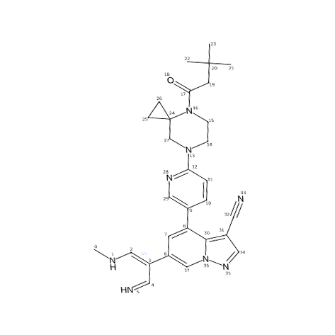 CN/C=C(\C=N)c1cc(-c2ccc(N3CCN(C(=O)CC(C)(C)C)C4(CC4)C3)nc2)c2c(C#N)cnn2c1